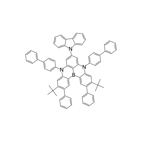 CC(C)(C)c1cc2c(cc1-c1ccccc1)B1c3cc(-c4ccccc4)c(C(C)(C)C)cc3N(c3ccc(-c4ccccc4)cc3)c3cc(-n4c5ccccc5c5ccccc54)cc(c31)N2c1ccc(-c2ccccc2)cc1